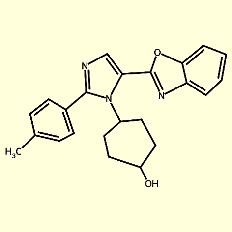 Cc1ccc(-c2ncc(-c3nc4ccccc4o3)n2C2CCC(O)CC2)cc1